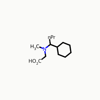 CCCC(C1CCCCC1)N(C)CC(=O)O